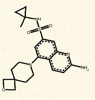 CC1(NS(=O)(=O)c2cc(N3CCC4(CC3)COC4)c3ccc(N)nc3c2)CC1